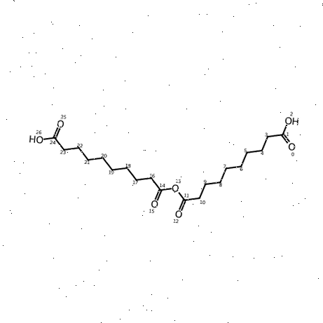 O=C(O)CCCCCCCCC(=O)OC(=O)CCCCCCCCC(=O)O